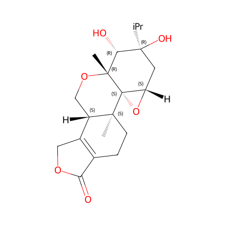 CC(C)[C@]1(O)C[C@@H]2O[C@@]23[C@@]2(C)CCC4=C(COC4=O)[C@@H]2CO[C@]3(C)[C@@H]1O